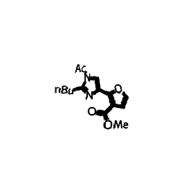 CCCCc1nc(-c2occc2C(=O)OC)cn1C(C)=O